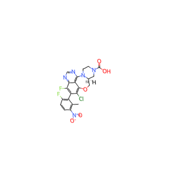 Cc1c([N+](=O)[O-])ccc(F)c1-c1c(Cl)c2c3c(ncnc3c1F)N1CCN(C(=O)O)C[C@H]1CO2